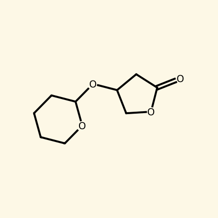 O=C1CC(OC2CCCCO2)CO1